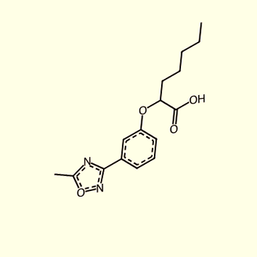 CCCCCC(Oc1cccc(-c2noc(C)n2)c1)C(=O)O